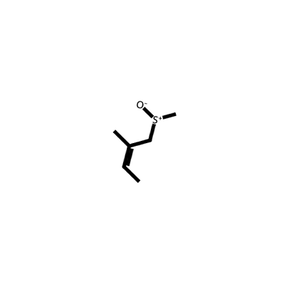 CC=C(C)C[S+](C)[O-]